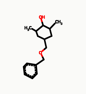 CC1CC(COCc2ccccc2)CC(C)C1O